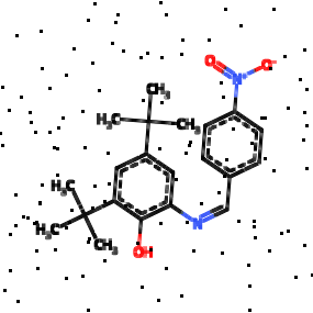 CC(C)(C)c1cc(/N=C\c2ccc([N+](=O)[O-])cc2)c(O)c(C(C)(C)C)c1